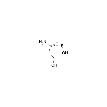 CCO.NC(=O)CCO